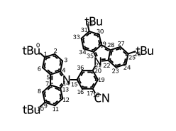 CC(C)(C)c1ccc2c(c1)c1cc(C(C)(C)C)ccc1n2-c1cc(C#N)cc(-n2c3ccc(C(C)(C)C)cc3c3cc(C(C)(C)C)ccc32)c1